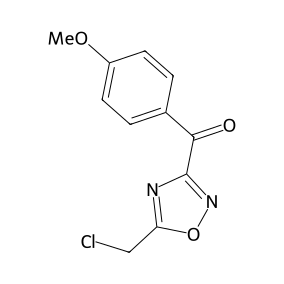 COc1ccc(C(=O)c2noc(CCl)n2)cc1